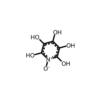 [O-][n+]1c(O)c(O)c(O)c(O)c1O